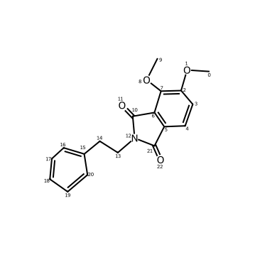 COc1ccc2c(c1OC)C(=O)N(CCc1ccccc1)C2=O